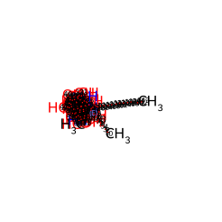 CCCCCCCCCCCCC/C=C/[C@@H](O)[C@H](CO[C@@H]1OC(CO)[C@@H](O[C@@H]2OC(CO)[C@H](O)[C@H](O[C@@H]3OC(CO)[C@@H](O[C@@H]4OC(CO)[C@H](O)[C@H](O[C@@H]5OC(CO)[C@@H](O[C@@H]6OC(CO)[C@H](O)[C@H](O[C@@H]7OC(CO)[C@@H](O)[C@H](O)C7NC(C)=O)C6O)[C@H](O[C@H]6OC(C)[C@@H](O)C(O)[C@@H]6O)C5NC(C)=O)C4O)[C@H](O)C3NC(C)=O)C2O)[C@H](O)C1O)NC(=O)CCCCCCCCCCCCCCCCCCCCCCCCC